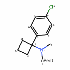 CCCCCN(C)C1(c2ccc(Cl)cc2)CCC1